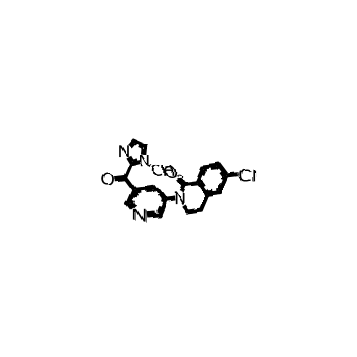 Cn1ccnc1C(=O)c1cncc(N2CCc3cc(Cl)ccc3C2=O)c1